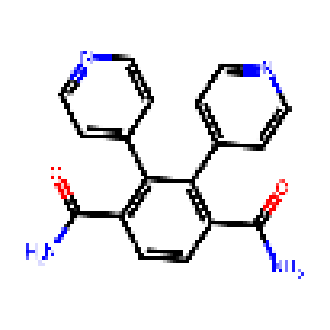 NC(=O)c1ccc(C(N)=O)c(-c2ccncc2)c1-c1ccncc1